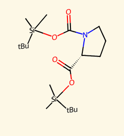 CC(C)(C)[Si](C)(C)OC(=O)[C@H]1CCCN1C(=O)O[Si](C)(C)C(C)(C)C